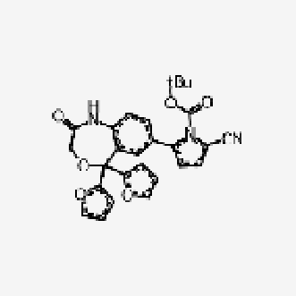 CC(C)(C)OC(=O)n1c(C#N)ccc1-c1ccc2c(c1)C(c1ccco1)(c1ccco1)OCC(=O)N2